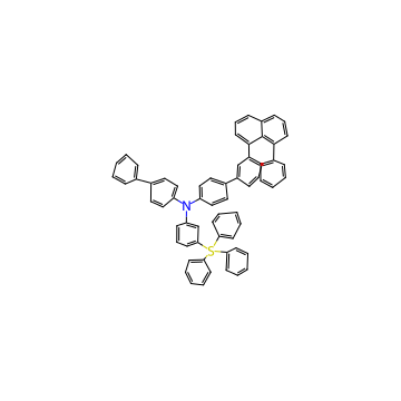 c1ccc(-c2ccc(N(c3ccc(-c4cccc(-c5cccc6cccc(-c7ccccc7)c56)c4)cc3)c3cccc(S(c4ccccc4)(c4ccccc4)c4ccccc4)c3)cc2)cc1